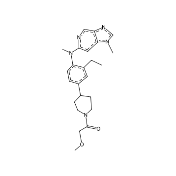 CCc1cc(C2CCN(C(=O)COC)CC2)ccc1N(C)c1cc2c(cn1)ncn2C